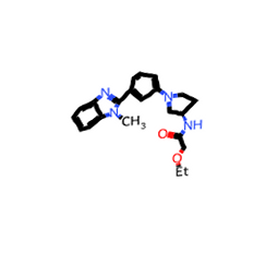 CCOCC(=O)N[C@@H]1CCN(c2cccc(-c3nc4ccccc4n3C)c2)C1